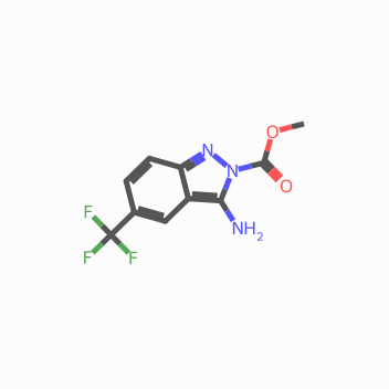 COC(=O)n1nc2ccc(C(F)(F)F)cc2c1N